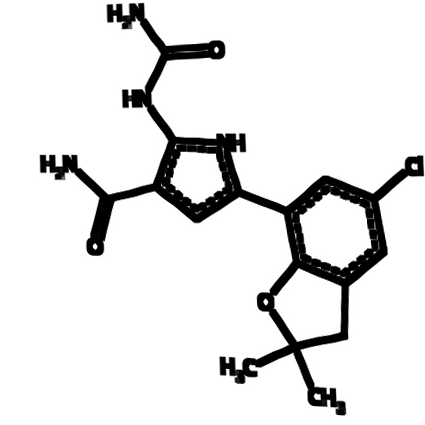 CC1(C)Cc2cc(Cl)cc(-c3cc(C(N)=O)c(NC(N)=O)[nH]3)c2O1